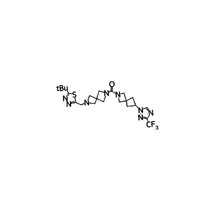 CC(C)(C)c1nnc(CN2CC3(C2)CN(C(=O)N2CC4(CC(n5cnc(C(F)(F)F)n5)C4)C2)C3)s1